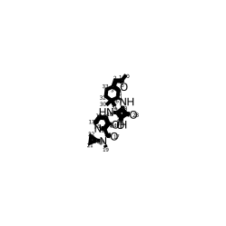 Cc1cc2c(o1)[C@@H](Nc1c(Nc3ccnc(C(=O)N(C)C4CC4)c3O)c(=O)c1=O)C(C)(C)CC2